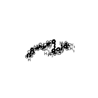 CC[C@H](C(=O)N1CCC(c2c(CCCc3cccc(OCC(=O)NCCC(C)(CC)OCC(C)(C)NC(=O)COc4cccc5c4COCN(C4CCC(=O)NC4=O)C5=O)c3)ccc(OC)c2OC)C[C@H]1C(=O)O)c1cc(OC)c(OC)c(OC)c1